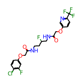 O=C(COc1ccc(Cl)c(F)c1)NCC[C@@H](F)CNC(=O)COc1ccc(C(F)(F)F)nc1